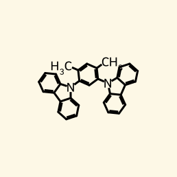 Cc1cc(C)c(-n2c3ccccc3c3ccccc32)cc1-n1c2ccccc2c2ccccc21